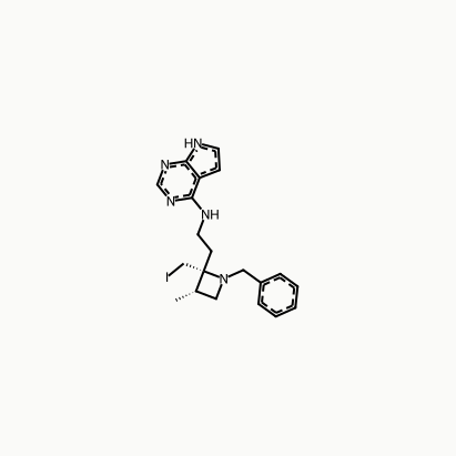 C[C@H]1CN(Cc2ccccc2)[C@]1(CI)CCNc1ncnc2[nH]ccc12